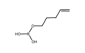 C=CCCCOB(O)O